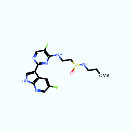 COCCN[S+]([O-])CCNc1nc(-c2c[nH]c3ncc(F)cc23)ncc1F